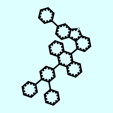 c1ccc(-c2ccc3c(c2)oc2cccc(-c4c5ccccc5c(-c5ccc(-c6ccccc6)c(-c6ccccc6)c5)c5ccccc45)c23)cc1